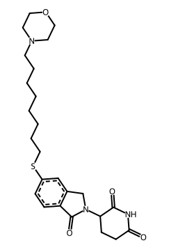 O=C1CCC(N2Cc3cc(SCCCCCCCCN4CCOCC4)ccc3C2=O)C(=O)N1